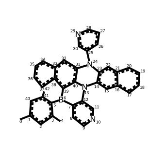 Cc1cc(C)c(B2c3ccncc3N3c4cc5ccccc5cc4N(c4cccnc4)c4cc5ccccc5c2c43)c(C)c1